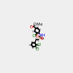 COC(=O)c1ccc(NS(=O)(=O)CCc2cccc(Cl)c2Cl)c(Cl)c1